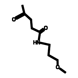 COCCCNC(=O)CCC(C)=O